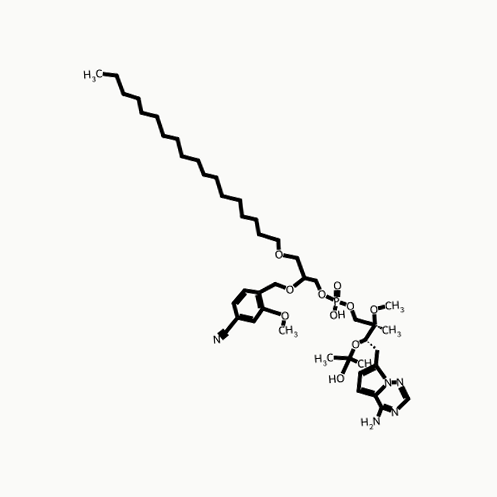 CCCCCCCCCCCCCCCCCCOCC(COP(=O)(O)OC[C@@](C)(OC)[C@H](Cc1ccc2c(N)ncnn12)OC(C)(C)O)OCc1ccc(C#N)cc1OC